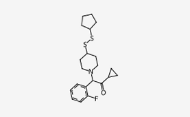 O=C(C1CC1)C(c1ccccc1F)N1CCC(SSC2CCCC2)CC1